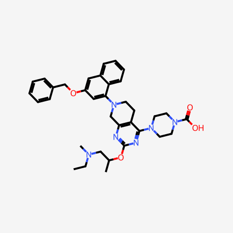 CCN(C)CC(C)Oc1nc2c(c(N3CCN(C(=O)O)CC3)n1)CCN(c1cc(OCc3ccccc3)cc3ccccc13)C2